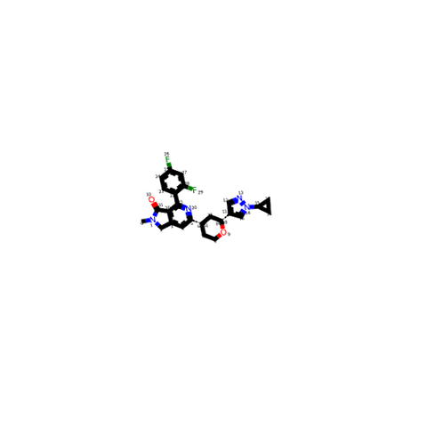 CN1Cc2cc([C@H]3CCO[C@@H](c4cnn(C5CC5)c4)C3)nc(-c3ccc(F)cc3F)c2C1=O